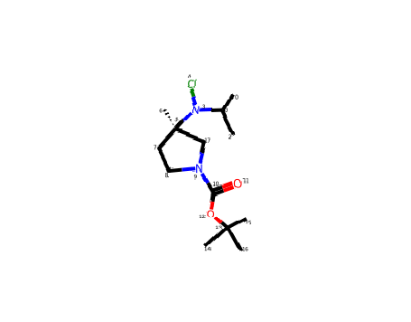 CC(C)N(Cl)[C@]1(C)CCN(C(=O)OC(C)(C)C)C1